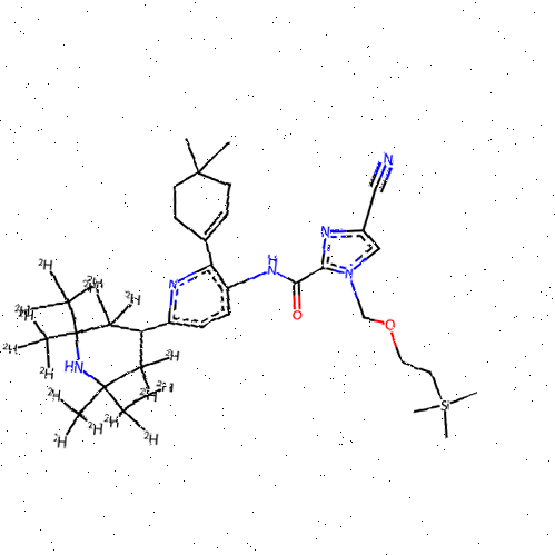 [2H]C([2H])([2H])C1(C([2H])([2H])[2H])NC(C([2H])([2H])[2H])(C([2H])([2H])[2H])C([2H])([2H])C(c2ccc(NC(=O)c3nc(C#N)cn3COCC[Si](C)(C)C)c(C3=CCC(C)(C)CC3)n2)C1([2H])[2H]